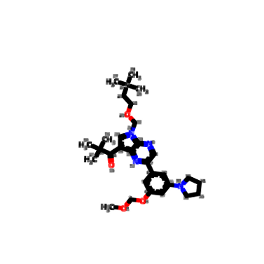 COCOc1cc(-c2cnc3c(n2)c(C(=O)C(C)(C)C)cn3COCC[Si](C)(C)C)cc(N2CCCC2)c1